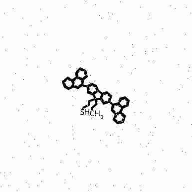 CCCC1(CCCS)c2cc(-c3cc4ccccc4c4ccccc34)ccc2-c2ccc(-c3cc4ccccc4c4ccccc34)cc21